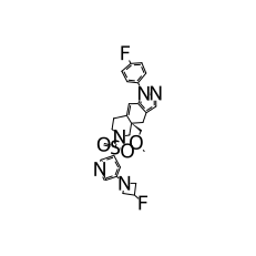 COC[C@]12Cc3cnn(-c4ccc(F)cc4)c3C=C1CCN(S(=O)(=O)c1cncc(N3CC(F)C3)c1)C2